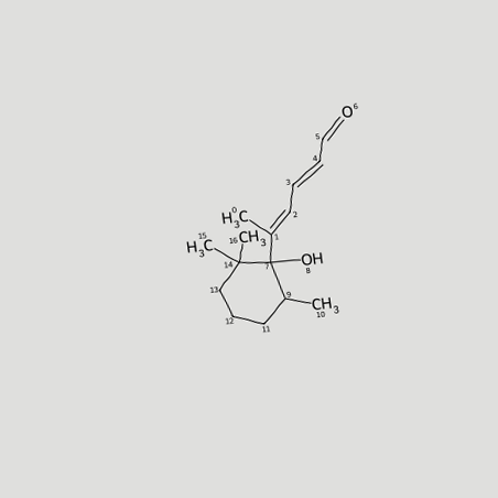 CC(=CC=CC=O)C1(O)C(C)CCCC1(C)C